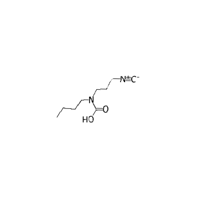 [C-]#[N+]CCCN(CCCC)C(=O)O